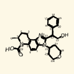 C[C@H]1CCc2c(ccc3c2nc(C(CO)c2ccccc2)n3C2CCOCC2)N1C(=O)O